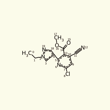 CCn1cc(-c2nc(Cl)cc(C#N)c2C(=O)OC)cn1